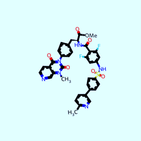 COC(=O)[C@H](Cc1ccc(-n2c(=O)c3ccncc3n(C)c2=O)cc1)NC(=O)c1c(F)cc(NS(=O)(=O)c2ccc(-c3ccc(C)nc3)cc2)cc1F